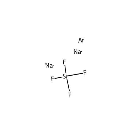 F[Si](F)(F)F.[Ar].[Na].[Na]